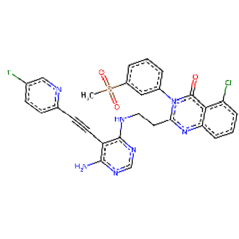 CS(=O)(=O)c1cccc(-n2c(CCNc3ncnc(N)c3C#Cc3ccc(F)cn3)nc3cccc(Cl)c3c2=O)c1